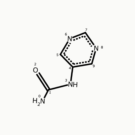 NC(=O)Nc1cncnc1